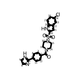 O=C(c1ccc(-c2ncc[nH]2)cc1)N1CCN(S(=O)(=O)c2cc3cc(Cl)ccc3[nH]2)CC1